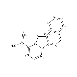 C=C(C)C1=NC=NC2c3ccc4ccccc4c3CC12